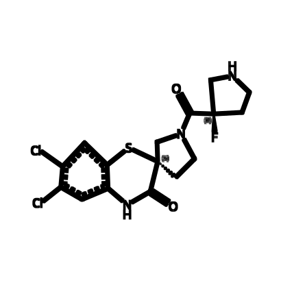 O=C(N1CC[C@@]2(C1)Sc1cc(Cl)c(Cl)cc1NC2=O)[C@@]1(F)CCNC1